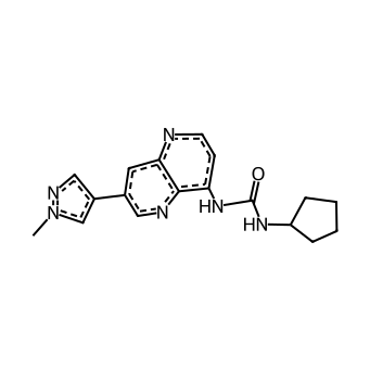 Cn1cc(-c2cnc3c(NC(=O)NC4CCCC4)ccnc3c2)cn1